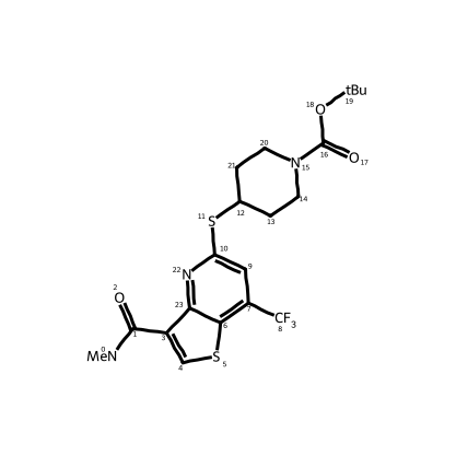 CNC(=O)c1csc2c(C(F)(F)F)cc(SC3CCN(C(=O)OC(C)(C)C)CC3)nc12